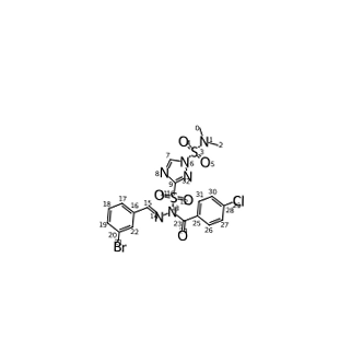 CN(C)S(=O)(=O)n1cnc(S(=O)(=O)N(/N=C/c2cccc(Br)c2)C(=O)c2ccc(Cl)cc2)n1